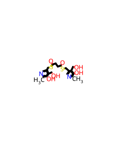 Cc1ncc(CSC(=O)CCC(=O)SCc2cnc(C)c(O)c2CO)c(CO)c1O